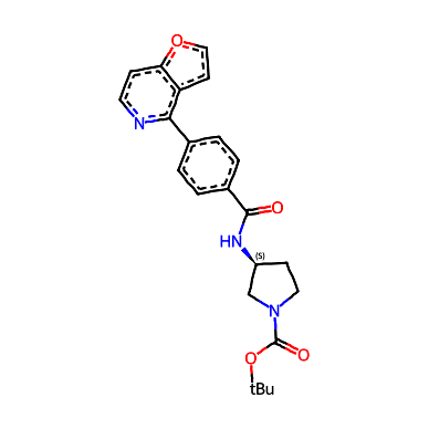 CC(C)(C)OC(=O)N1CC[C@H](NC(=O)c2ccc(-c3nccc4occc34)cc2)C1